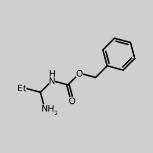 CCC(N)NC(=O)OCc1ccccc1